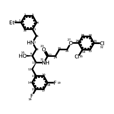 CCc1cccc(CNC[C@H](O)[C@H](Cc2cc(F)cc(F)c2)NC(=O)CCCOc2ccc(Cl)cc2Cl)c1